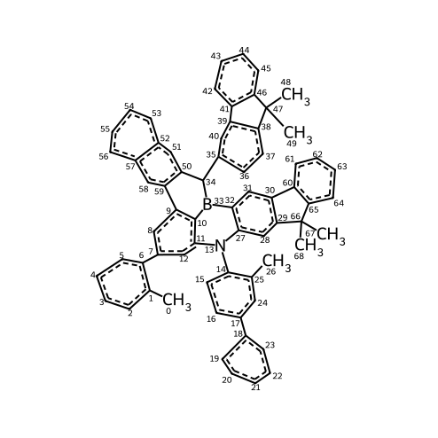 Cc1ccccc1-c1cc2c3c(c1)N(c1ccc(-c4ccccc4)cc1C)c1cc4c(cc1B3C(c1ccc3c(c1)-c1ccccc1C3(C)C)c1cc3ccccc3cc1-2)-c1ccccc1C4(C)C